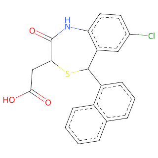 O=C(O)CC1SC(c2cccc3ccccc23)c2cc(Cl)ccc2NC1=O